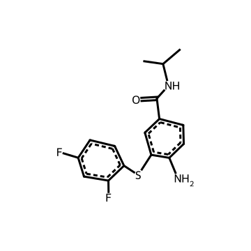 CC(C)NC(=O)c1ccc(N)c(Sc2ccc(F)cc2F)c1